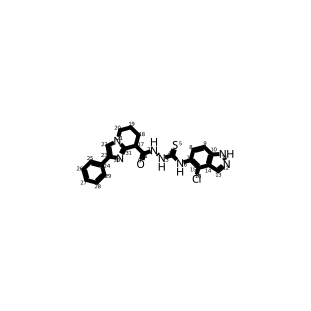 O=C(NNC(=S)Nc1ccc2[nH]ncc2c1Cl)C1CCCn2cc(-c3ccccc3)nc21